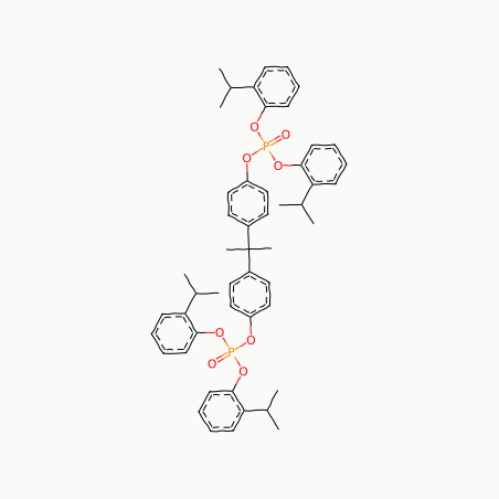 CC(C)c1ccccc1OP(=O)(Oc1ccc(C(C)(C)c2ccc(OP(=O)(Oc3ccccc3C(C)C)Oc3ccccc3C(C)C)cc2)cc1)Oc1ccccc1C(C)C